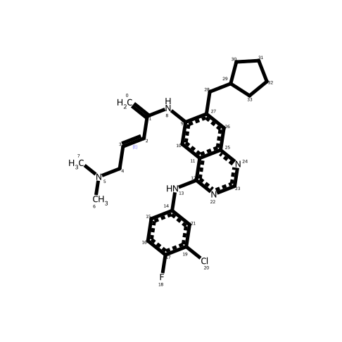 C=C(/C=C/CN(C)C)Nc1cc2c(Nc3ccc(F)c(Cl)c3)ncnc2cc1CC1CCCC1